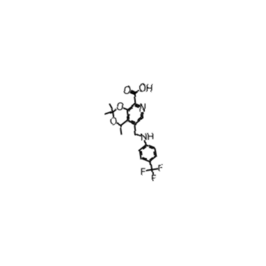 CC1OC(C)(C)Oc2c(C(=O)O)ncc(CNc3ccc(C(F)(F)F)cc3)c21